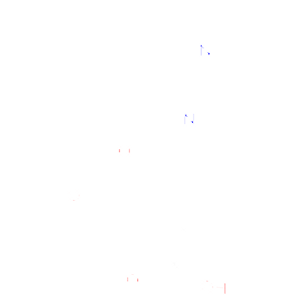 COc1c(N2CCN(C)CC2)ccc(C(=O)O)c1C=O